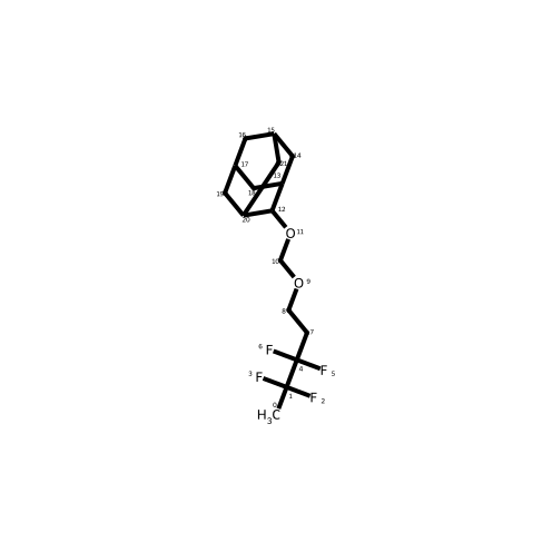 CC(F)(F)C(F)(F)CCOCOC1C2CC3CC(C2)CC1C3